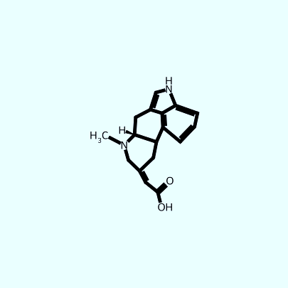 CN1C/C(=C/C(=O)O)CC2c3cccc4[nH]cc(c34)C[C@H]21